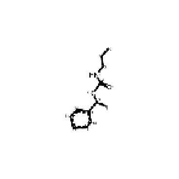 CCCNC(=O)OC(C)c1ccccc1